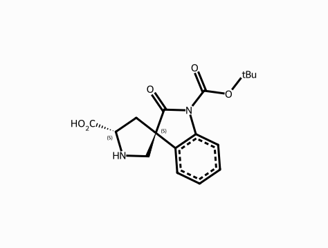 CC(C)(C)OC(=O)N1C(=O)[C@]2(CN[C@H](C(=O)O)C2)c2ccccc21